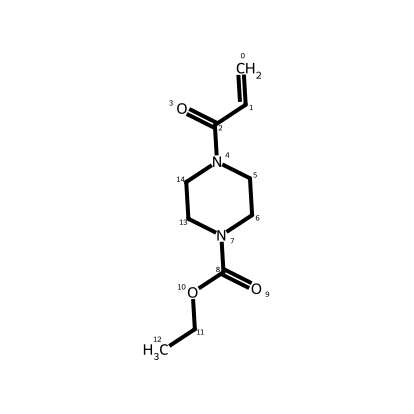 C=CC(=O)N1CCN(C(=O)OCC)CC1